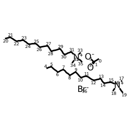 CC(=O)[O-].CCCCCCCCCCCC[N+](C)(C)C.CCCCCCCCCCCC[N+](C)(C)C.[Br-]